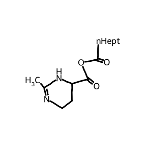 CCCCCCCC(=O)OC(=O)C1CCN=C(C)N1